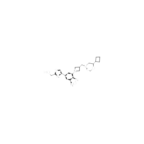 OCc1nc(-c2cc(N3CC(CN4CCOC(C5CCC5)C4)C3)c3nonc3c2)cs1